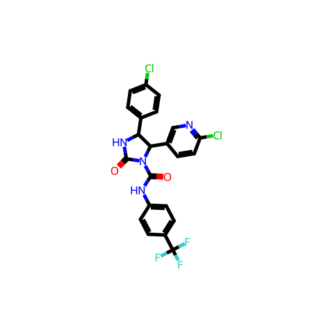 O=C(Nc1ccc(C(F)(F)F)cc1)N1C(=O)NC(c2ccc(Cl)cc2)C1c1ccc(Cl)nc1